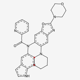 O=C(c1ccccn1)N(c1cnc2[nH]ccc2c1)c1cc2oc(N3CCOCC3)nc2cc1N1CCCCC1